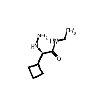 CCNC(=O)[C@H](NN)C1CCC1